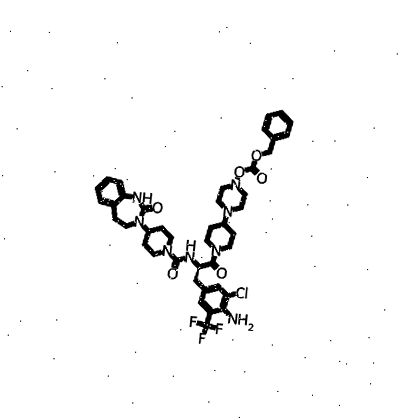 Nc1c(Cl)cc(C[C@@H](NC(=O)N2CCC(N3CCc4ccccc4NC3=O)CC2)C(=O)N2CCC(N3CCN(OC(=O)OCc4ccccc4)CC3)CC2)cc1C(F)(F)F